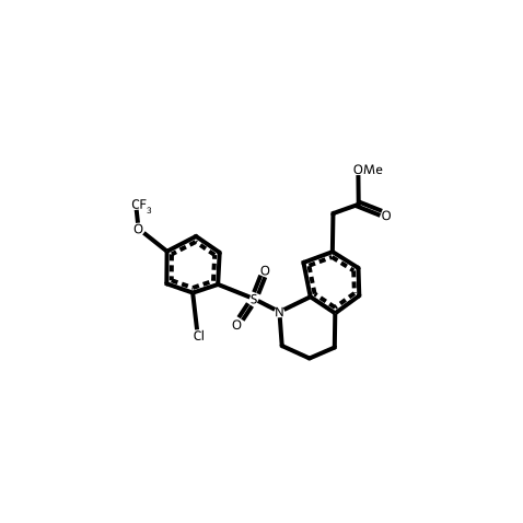 COC(=O)Cc1ccc2c(c1)N(S(=O)(=O)c1ccc(OC(F)(F)F)cc1Cl)CCC2